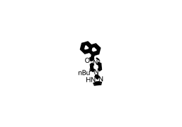 CCCC[C@@H]1C[N+](C)(C(=O)c2cccc3ccccc23)CCN1c1ncc[nH]1